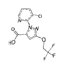 O=C(O)c1cc(OCC(F)(F)F)nn1-c1ncccc1Cl